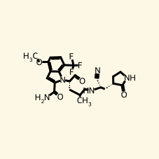 COc1ccc(C(F)(F)F)c2c1cc(C(N)=O)n2[C@H](C=O)CC(C)CN[C@H](C#N)C[C@@H]1CCNC1=O